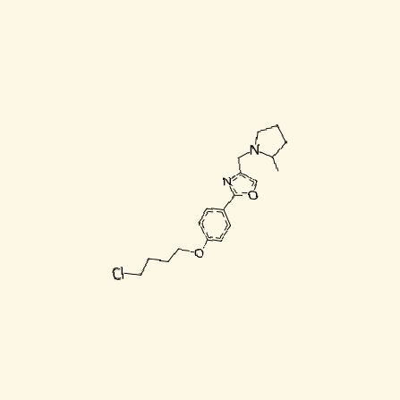 CC1CCCN1Cc1coc(-c2ccc(OCCCCCl)cc2)n1